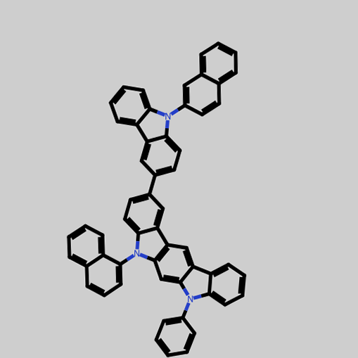 c1ccc(-n2c3ccccc3c3cc4c5cc(-c6ccc7c(c6)c6ccccc6n7-c6ccc7ccccc7c6)ccc5n(-c5cccc6ccccc56)c4cc32)cc1